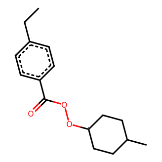 CCc1ccc(C(=O)OO[C]2CCC(C)CC2)cc1